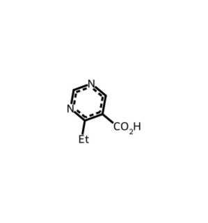 CCc1ncncc1C(=O)O